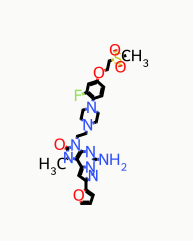 Cn1c(=O)n(CCN2CCN(c3ccc(OCCS(C)(=O)=O)cc3F)CC2)c2nc(N)n3nc(-c4ccco4)cc3c21